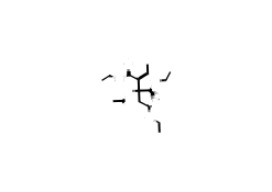 CC=C(C(=O)OCC)C(CC(=O)OCC)(OC(C)=O)C(=O)OCC